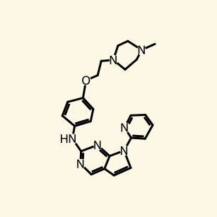 CN1CCN(CCOc2ccc(Nc3ncc4ccn(-c5ccccn5)c4n3)cc2)CC1